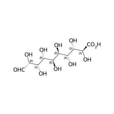 O=C[C@H](O)[C@@H](O)[C@H](O)[C@H](O)[C@@H](O)[C@@H](O)[C@H](O)[C@H](O)C(=O)O